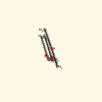 CCCCCCCCCCCCCCCCCC(=O)OCC1CCCCC1.CCCCCCCCCCCCCCCCCCCCCC(=O)OC(C)C.CCCCCCCCCCCCCCCCCCOC(=O)CCCCCCCCCCCCCCCCC